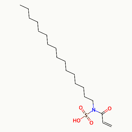 C=CC(=O)N(CCCCCCCCCCCCCCCC)S(=O)(=O)O